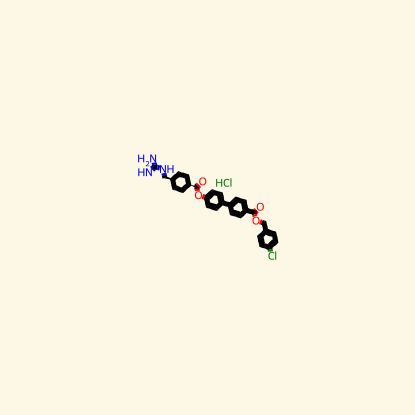 Cl.N=C(N)NC[C@H]1CC[C@H](C(=O)Oc2ccc(-c3ccc(C(=O)OCc4ccc(Cl)cc4)cc3)cc2)CC1